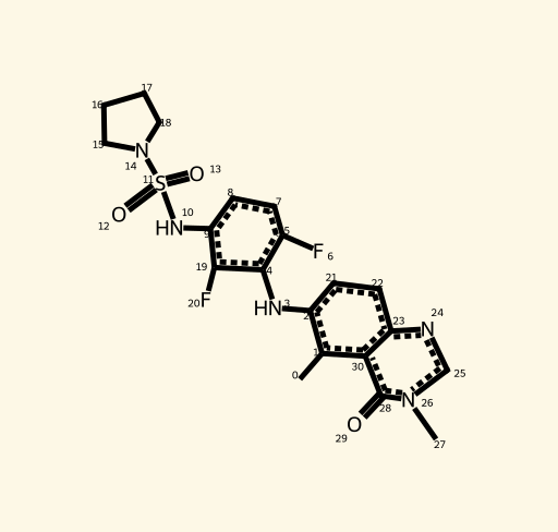 Cc1c(Nc2c(F)ccc(NS(=O)(=O)N3CCCC3)c2F)ccc2ncn(C)c(=O)c12